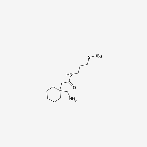 CC(C)(C)SCCCNC(=O)CC1(CN)CCCCC1